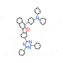 c1ccc(-c2nc(-c3ccccc3)nc(-c3ccc4c(c3)oc3c(-c5ccc(N(c6ccccc6)c6ccccc6)cc5)c5ccccc5cc34)n2)cc1